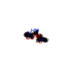 CNc1cc(COc2cc(N=S)c(C(=O)N3Cc4ccccc4CC3C)cc2OC)cc(COc2cc3c(cc2OC)C(=O)N2CCC[C@@]2(C)C=N3)c1